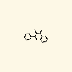 C=C(C(=O)C(=C)c1ccccc1)c1ccccc1